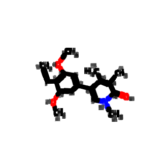 C=Cc1c(OC)cc(-c2cn(C)c(=O)c(C)c2C)cc1OC